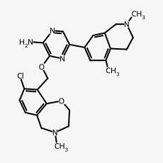 Cc1cc(-c2cnc(N)c(OCc3c(Cl)ccc4c3OCCN(C)C4)n2)cc2c1CCN(C)C2